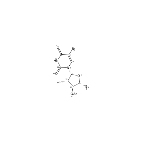 CC[C@H]1O[C@@H](n2cc(Br)c(=O)[nH]c2=O)[C@@H](F)C1OC(C)=O